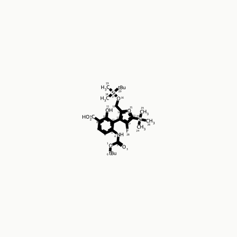 CC(C)(C)OC(=O)Nc1ccc(C(=O)O)c(O)c1-c1c(CO[Si](C)(C)C(C)(C)C)oc([Si](C)(C)C)c1F